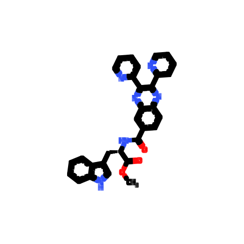 COC(=O)[C@H](Cc1c[nH]c2ccccc12)NC(=O)c1ccc2nc(-c3ccccn3)c(-c3ccccn3)nc2c1